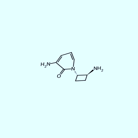 Nc1cccn([C@H]2CC[C@@H]2N)c1=O